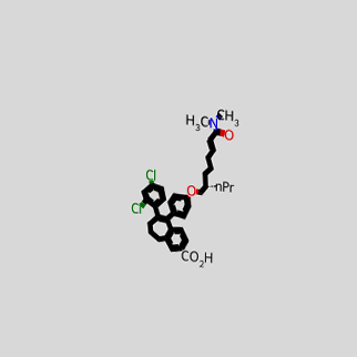 CCC[C@@H](CCC/C=C/C(=O)N(C)C)COc1ccc(C2=C(c3ccc(Cl)cc3Cl)CCCc3cc(C(=O)O)ccc32)cc1